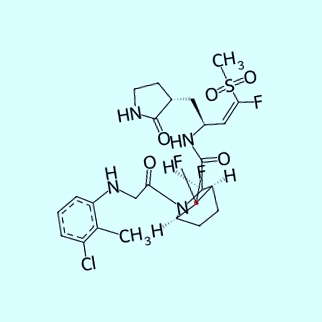 Cc1c(Cl)cccc1NCC(=O)N1[C@@H]2CC[C@H]([C@@H]1C(=O)N[C@H](/C=C(/F)S(C)(=O)=O)C[C@H]1CCNC1=O)C(F)(F)C2